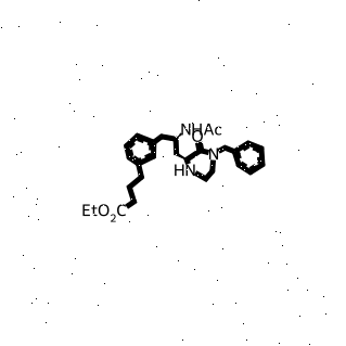 CCOC(=O)CCCc1cccc(C[C@@H](C[C@@H]2NCCN(Cc3ccccc3)C2=O)NC(C)=O)c1